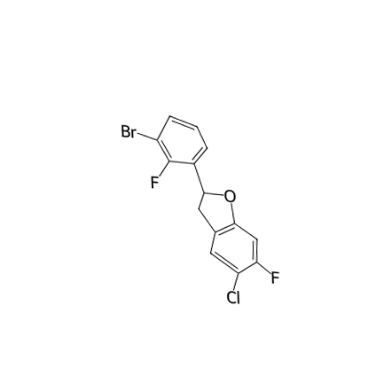 Fc1cc2c(cc1Cl)CC(c1cccc(Br)c1F)O2